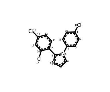 Clc1ccc(-n2ccnc2-c2ccc(Cl)cc2Cl)cc1